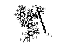 CC(=O)N[C@@H]1[C@@H](O)[C@H](O[C@@H]2O[C@H](C(=O)O)[C@@H](O[C@@H]3O[C@H](CO)[C@@H](O[C@H]4O[C@@H](C(=O)O)[C@H](O)[C@@H](O)[C@@H]4OS(=O)(=O)O)[C@H](OS(=O)(=O)O)[C@H]3NS(=O)(=O)O)[C@H](O)[C@H]2OS(=O)(=O)O)[C@H](COS(=O)(=O)O)O[C@H]1O.CCCCCCCCCCC=CC(CC(=O)O)C(=O)O